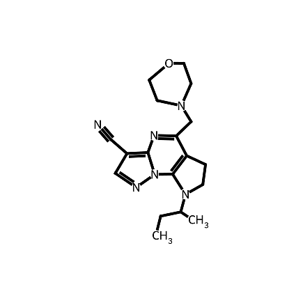 CCC(C)N1CCc2c(CN3CCOCC3)nc3c(C#N)cnn3c21